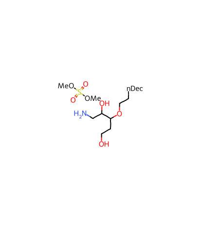 CCCCCCCCCCCCOC(CCO)C(O)CN.COS(=O)(=O)OC